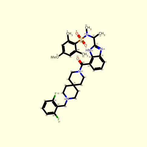 COc1cc(C)c(S(=O)(=O)N(C)C(C)c2nc3cccc(C(=O)N4CCC5(CCN(Cc6c(F)cccc6F)CC5)CC4)c3[nH]2)c(C)c1